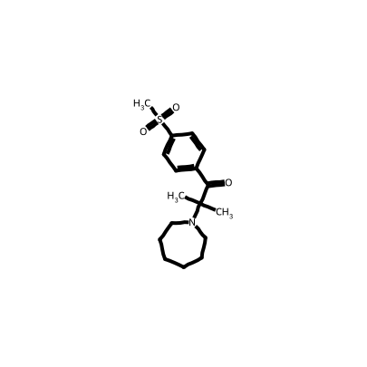 CC(C)(C(=O)c1ccc(S(C)(=O)=O)cc1)N1CCCCCC1